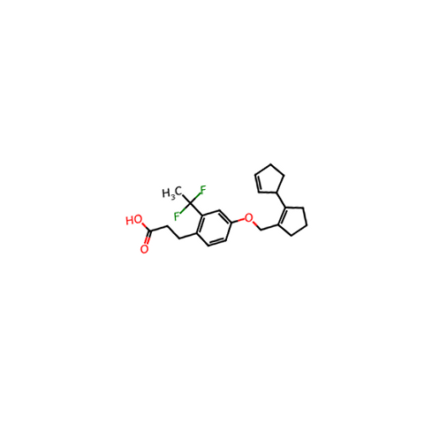 CC(F)(F)c1cc(OCC2=C(C3C=CCC3)CCC2)ccc1CCC(=O)O